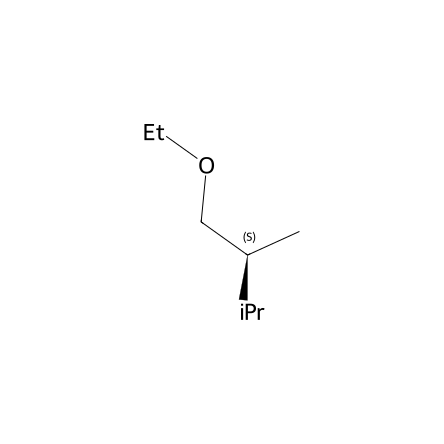 CCOC[C@@H](C)C(C)C